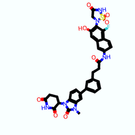 Cn1c(=O)n(C2CCC(=O)NC2=O)c2ccc(-c3cccc(CCC(=O)Nc4ccc5c(F)c(N6CC(=O)NS6(=O)=O)c(O)cc5c4)c3)cc21